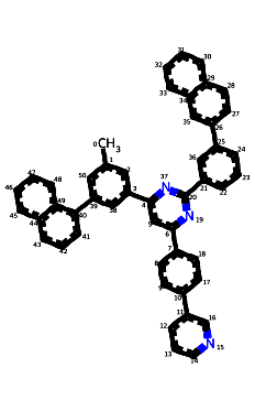 Cc1cc(-c2cc(-c3ccc(-c4cccnc4)cc3)nc(-c3cccc(-c4ccc5ccccc5c4)c3)n2)cc(-c2cccc3ccccc23)c1